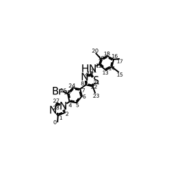 Cc1cn(-c2ccc(-c3nc(Nc4cc(C)c(C)cc4C)sc3C)cc2Br)cn1